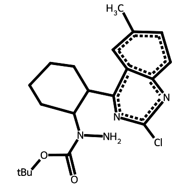 Cc1ccc2nc(Cl)nc(C3CCCCC3N(N)C(=O)OC(C)(C)C)c2c1